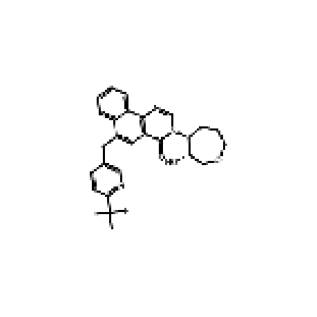 CC(F)(F)c1ccc(Cc2cc3c(=O)n([C@H]4CCCOC[C@@H]4O)cnc3c3ccccc23)cn1